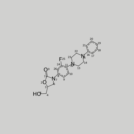 O=C1OC(CO)CN1c1ccc(N2CCN(c3ccccc3)CC2)c(F)c1